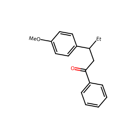 CCC(CC(=O)c1ccccc1)c1ccc(OC)cc1